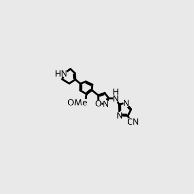 COc1cc(C2=CCNCC2)ccc1-c1cc(Nc2cnc(C#N)cn2)no1